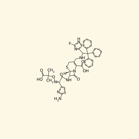 CC(C)(O/N=C(\C(=O)NC1C(=O)N2C(C(=O)O)=C(CNC(c3c[nH]c(F)n3)C(c3ccccc3)(c3ccccc3)c3ccccc3)CS[C@@H]12)c1csc(N)n1)C(=O)O